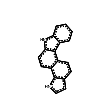 c1ccc2c(c1)[nH]c1ccc3c(ccc4cc[nH]c43)c12